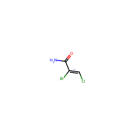 NC(=O)/C(Br)=C/Cl